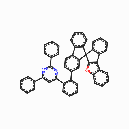 c1ccc(-c2cc(-c3ccccc3-c3ccc4c(c3)C3(c5ccccc5-4)c4ccccc4-c4c3oc3ccccc43)nc(-c3ccccc3)n2)cc1